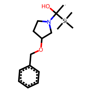 [CH2]C(O)(N1CCC(OCc2ccccc2)C1)[Si](C)(C)C